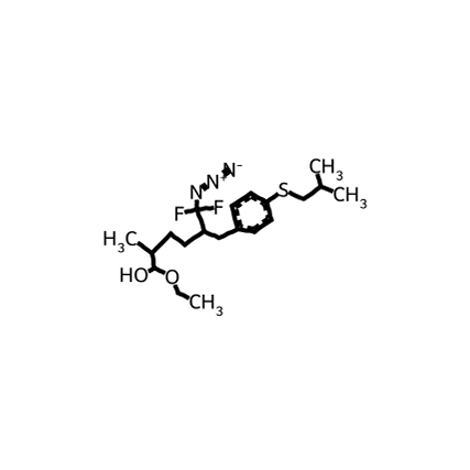 CCOC(O)C(C)CCC(Cc1ccc(SCC(C)C)cc1)C(F)(F)N=[N+]=[N-]